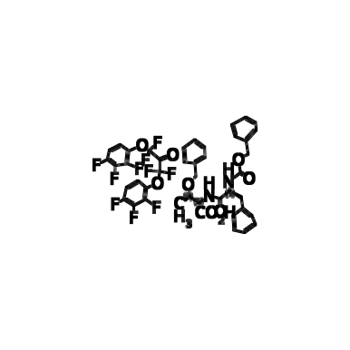 C[C@@H](OCc1ccccc1)[C@H](NC(=O)[C@H](Cc1ccccc1)NC(=O)OCc1ccccc1)C(=O)O.O=C(C(F)(F)Oc1ccc(F)c(F)c1F)C(F)(F)Oc1ccc(F)c(F)c1F